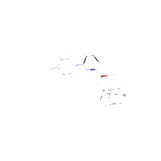 O=C(NC1C2CC3CC(C2)CC1C3)c1cccc(N2CCN(C(=O)O)CC2)n1